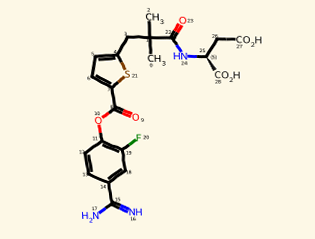 CC(C)(Cc1ccc(C(=O)Oc2ccc(C(=N)N)cc2F)s1)C(=O)N[C@@H](CC(=O)O)C(=O)O